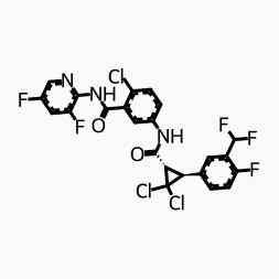 O=C(Nc1ncc(F)cc1F)c1cc(NC(=O)[C@@H]2[C@@H](c3ccc(F)c(C(F)F)c3)C2(Cl)Cl)ccc1Cl